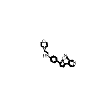 Cn1c(-c2ccc(NCCN3CCOCC3)cc2)ccc1-c1ccncc1C#N